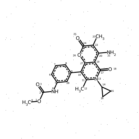 COC(=O)Nc1cccc(-c2c(C)n(C3CC3)c(=O)c3c(N)c(C)c(=O)oc23)c1